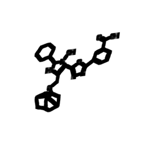 O=C(O)c1cccc(-c2nnc(C3=C(COC45CC6CC(CC(C6)C4)C5)NC(C4CCCCC4)N3O)o2)c1